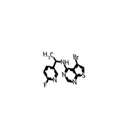 CC(Nc1ncnc2scc(Br)c12)c1ccc(F)nc1